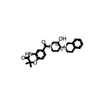 CC1(C)Oc2ccc(C(=O)N3CC[C@H](N4CCc5ccccc5C4)[C@@H](O)C3)cc2NC1=O